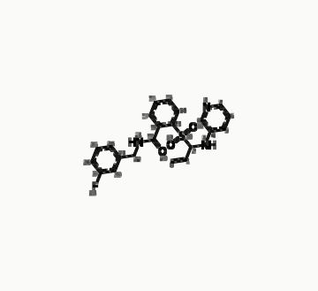 C=CC(Nc1cccnc1)S(=O)(=O)c1ccccc1C(=O)NCc1cccc(F)c1